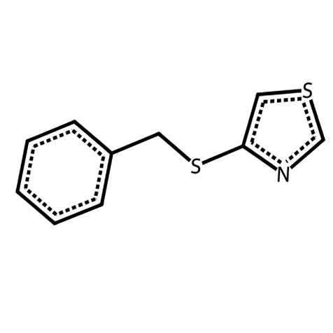 c1ccc(CSc2cscn2)cc1